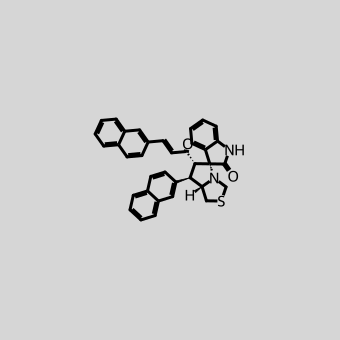 O=C(/C=C/c1ccc2ccccc2c1)[C@H]1[C@H](c2ccc3ccccc3c2)[C@H]2CSCN2[C@]12C(=O)Nc1ccccc12